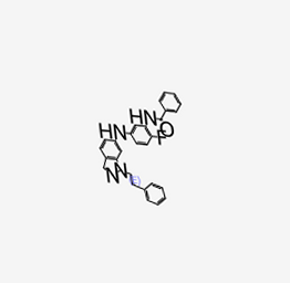 O=C(Nc1cc(Nc2ccc3cnn(/C=C/c4ccccc4)c3c2)ccc1F)c1ccccc1